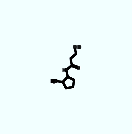 NC1CCCC1NC(=O)CCC=O